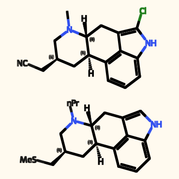 CCCN1C[C@H](CSC)C[C@@H]2c3cccc4[nH]cc(c34)C[C@H]21.CN1C[C@H](CC#N)C[C@@H]2c3cccc4[nH]c(Cl)c(c34)C[C@H]21